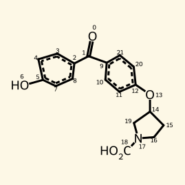 O=C(c1ccc(O)cc1)c1ccc(OC2CCN(C(=O)O)C2)cc1